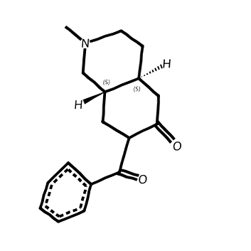 CN1CC[C@H]2CC(=O)C(C(=O)c3ccccc3)C[C@@H]2C1